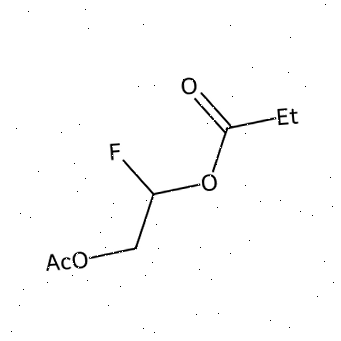 CCC(=O)OC(F)COC(C)=O